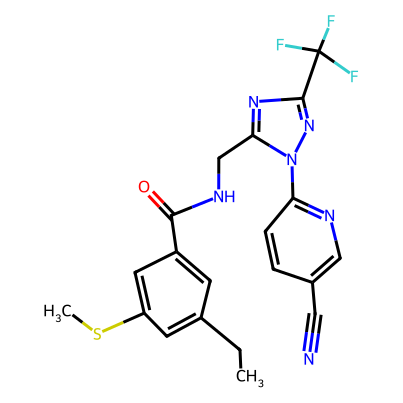 CCc1cc(SC)cc(C(=O)NCc2nc(C(F)(F)F)nn2-c2ccc(C#N)cn2)c1